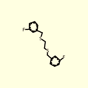 Fc1cccc(CSCCSCc2cccc(F)c2)c1